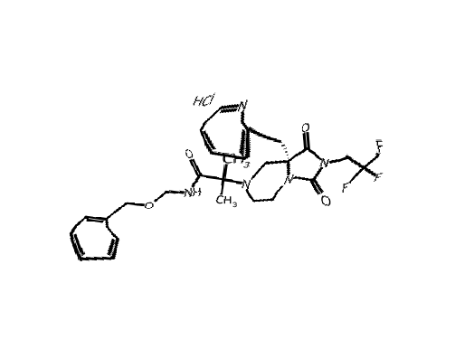 CC(C)(C(=O)NCOCc1ccccc1)N1CCN2C(=O)N(CC(F)(F)F)C(=O)[C@]2(Cc2ccccn2)C1.Cl